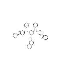 CC(C)(c1cc(N(c2ccccc2)c2ccc3c(c2)sc2ccccc23)cc(N(c2ccccc2)c2ccc3c(c2)sc2ccccc23)c1)c1ccc2ccccc2c1